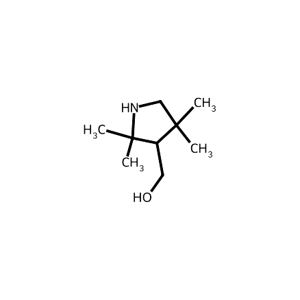 CC1(C)CNC(C)(C)C1CO